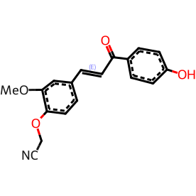 COc1cc(/C=C/C(=O)c2ccc(O)cc2)ccc1OCC#N